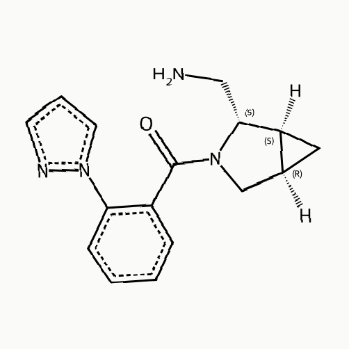 NC[C@@H]1[C@H]2C[C@H]2CN1C(=O)c1ccccc1-n1cccn1